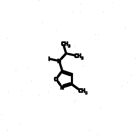 Cc1cc(N(I)C(C)C)on1